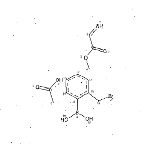 CC(=O)O.COC(=O)C=N.OB(O)c1ccccc1CBr